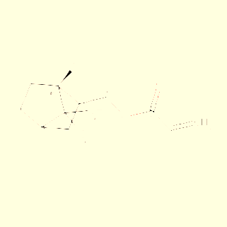 C=CC(=O)OCC1C[C@H]2CC[C@@]1(C)C2(C)C